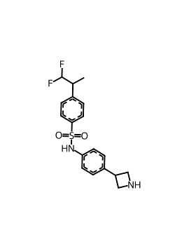 CC(c1ccc(S(=O)(=O)Nc2ccc(C3CNC3)cc2)cc1)C(F)F